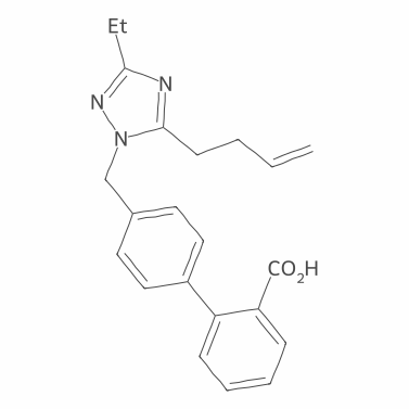 C=CCCc1nc(CC)nn1Cc1ccc(-c2ccccc2C(=O)O)cc1